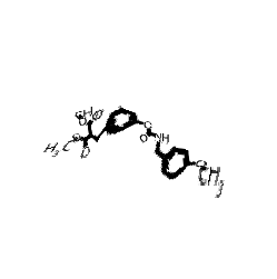 COC(=O)C(Cc1cccc(OC(=O)NCc2ccc(OC)cc2)c1)C(=O)OC